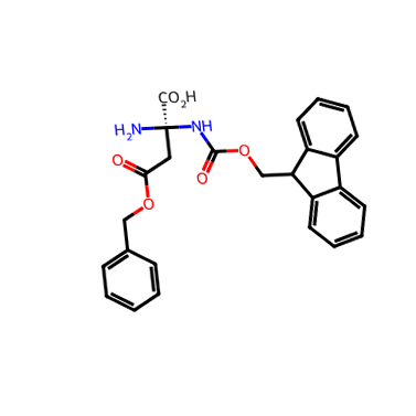 N[C@](CC(=O)OCc1ccccc1)(NC(=O)OCC1c2ccccc2-c2ccccc21)C(=O)O